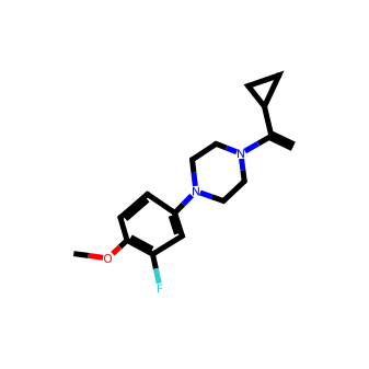 C=C(C1CC1)N1CCN(c2ccc(OC)c(F)c2)CC1